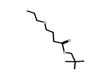 CCCOCCCC(=O)OCC(C)(C)C